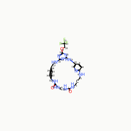 O=C1NCCCNc2ccc(cn2)Nc2nc(nc(OCC(F)(F)F)n2)NCc2ccc(cc2)NC(=O)NCN1